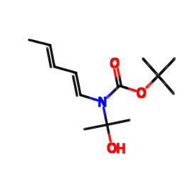 C/C=C/C=C/N(C(=O)OC(C)(C)C)C(C)(C)O